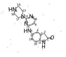 O=C1Cc2cc(Nc3ccnc(N4CCNCC4)n3)ccc2N1